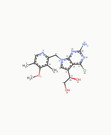 COc1c(C)cnc(Cn2cc([C@@H](O)CO)c3c(Cl)nc(N)nc32)c1C